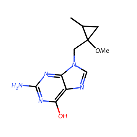 COC1(Cn2cnc3c(O)nc(N)nc32)CC1C